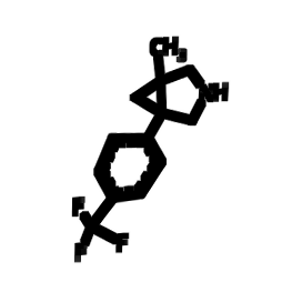 CC12CNCC1(c1ccc(C(F)(F)F)cc1)C2